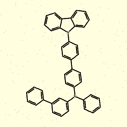 c1ccc(-c2cccc(N(c3ccccc3)c3ccc(-c4ccc(-n5c6ccccc6c6ccccc65)cc4)cc3)c2)cc1